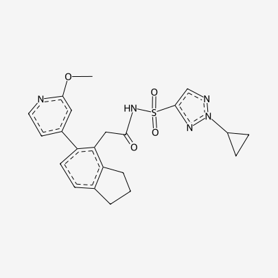 COc1cc(-c2ccc3c(c2CC(=O)NS(=O)(=O)c2cnn(C4CC4)n2)CCC3)ccn1